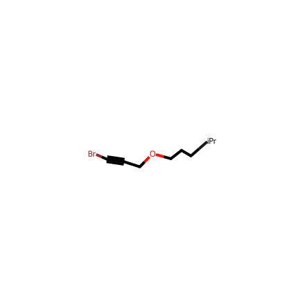 CC(C)CCCOCC#CBr